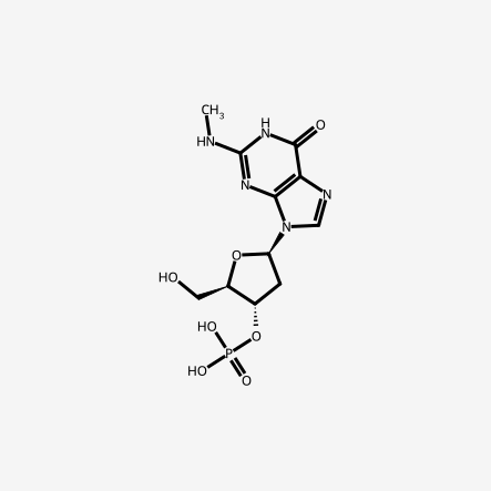 CNc1nc2c(ncn2[C@H]2C[C@H](OP(=O)(O)O)[C@@H](CO)O2)c(=O)[nH]1